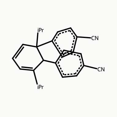 CC(C)C1=CC=CC(c2ccc(C#N)cc2)(C(C)C)C1c1ccc(C#N)cc1